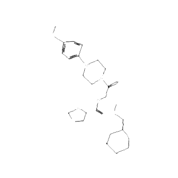 COc1ccc(N2CCN(C(=O)[C@H](CSCC3CCCCC3)NC(=O)[C@@H]3CSCN3)CC2)cc1